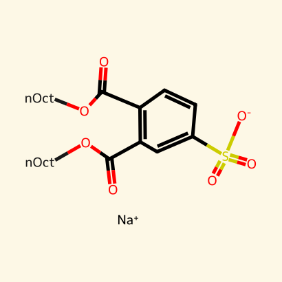 CCCCCCCCOC(=O)c1ccc(S(=O)(=O)[O-])cc1C(=O)OCCCCCCCC.[Na+]